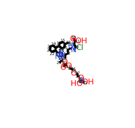 CCCCc1nc(Cl)c(C(=O)O)n1Cc1ccc(-c2ccccc2-c2nnn(C(C)OC(=O)OCCOCCON(O)O)n2)cc1